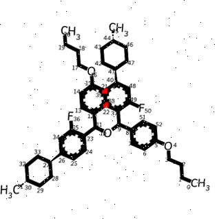 CCCCOc1ccc(C(OC(c2ccc(OCCCC)cc2)c2ccc([C@H]3CC[C@H](C)CC3)cc2F)c2ccc([C@H]3CC[C@H](C)CC3)cc2F)cc1